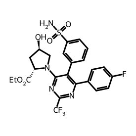 CCOC(=O)[C@@H]1C[C@@H](O)CN1c1nc(C(F)(F)F)nc(-c2ccc(F)cc2)c1-c1cccc(S(N)(=O)=O)c1